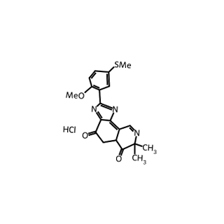 COc1ccc(SC)cc1C1=NC2=C3C=NC(C)(C)C(=O)C3CC(=O)C2=N1.Cl